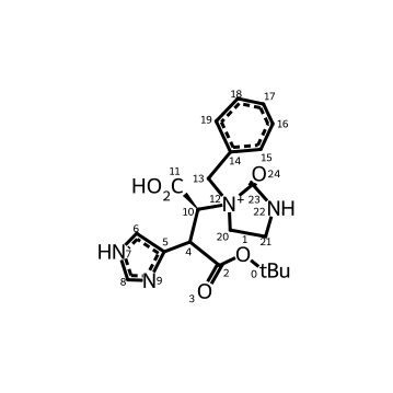 CC(C)(C)OC(=O)C(c1c[nH]cn1)[C@@H](C(=O)O)[N+]1(Cc2ccccc2)CCNC1=O